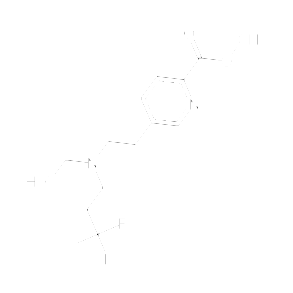 CCN(CCc1ccc(C(=O)OC)nc1)CCC(F)(F)F